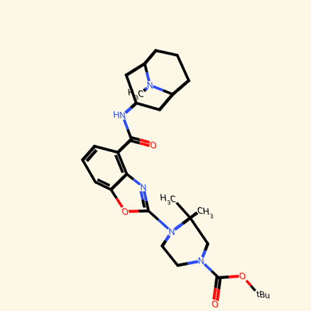 CN1C2CCCC1CC(NC(=O)c1cccc3oc(N4CCN(C(=O)OC(C)(C)C)CC4(C)C)nc13)C2